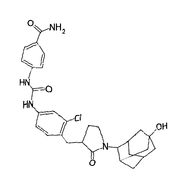 NC(=O)c1ccc(NC(=O)Nc2ccc(CC3CCN(C4C5CC6CC4CC(O)(C6)C5)C3=O)c(Cl)c2)cc1